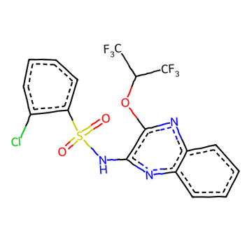 O=S(=O)(Nc1nc2ccccc2nc1OC(C(F)(F)F)C(F)(F)F)c1ccccc1Cl